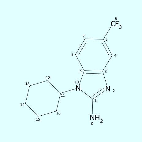 Nc1nc2cc(C(F)(F)F)ccc2n1C1CCCCC1